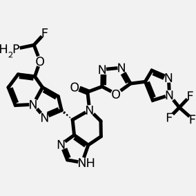 O=C(c1nnc(-c2cnn(C(F)(F)F)c2)o1)N1CCc2[nH]cnc2[C@@H]1c1cc2c(OC(F)P)cccn2n1